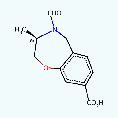 C[C@@H]1COc2cc(C(=O)O)ccc2CN1C=O